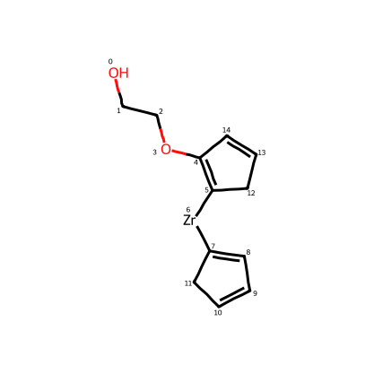 OCCOC1=[C]([Zr][C]2=CC=CC2)CC=C1